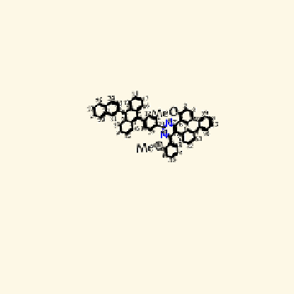 COc1ccccc1-c1nc(-c2ccc(-c3c4ccccc4c(-c4ccc5ccccc5c4)c4ccccc34)cc2)nc(-c2ccccc2OC)c1-c1cccc(-c2ccccc2)c1